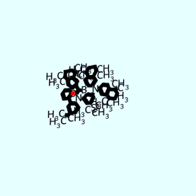 CC(C)(C)c1ccc(N2c3cc([Si](C)(C)C)cc4c3B(c3cc5c(cc3N4c3ccc4c(c3)C(C)(C)CCC4(C)C)C(C)(C)CCC5(C)C)c3c2oc2cc4c(cc32)C(C)(C)CCC4(C)C)c(-c2ccccc2)c1